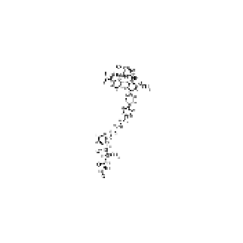 COc1cc(N2CCC(N3CCN(CCCCCCCc4cccc5c4CN(C(C)CCC(=O)NC=O)C5=O)CC3)CC2)ccc1Nc1ncc(Cl)c(Nc2ccccc2P(C)C)n1